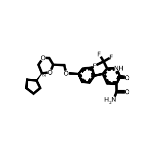 NC(=O)c1cc(-c2ccc(OCC3COC[C@H](C4CCCC4)O3)cc2)c(C(F)(F)F)[nH]c1=O